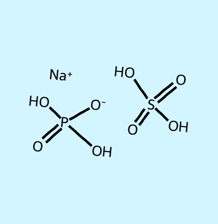 O=P([O-])(O)O.O=S(=O)(O)O.[Na+]